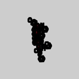 COc1ccc(CN(Cc2ccc(OC)cc2)S(=O)(=O)c2c(S(=O)(=O)NC(CNC(=O)OCc3ccccc3)COC3CCCCO3)ccc(-c3cccc(N)n3)c2-c2nnn(Cc3ccc(OC)cc3)n2)cc1